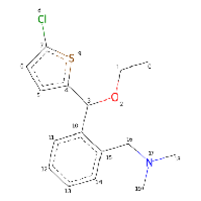 CCOC(c1ccc(Cl)s1)c1ccccc1CN(C)C